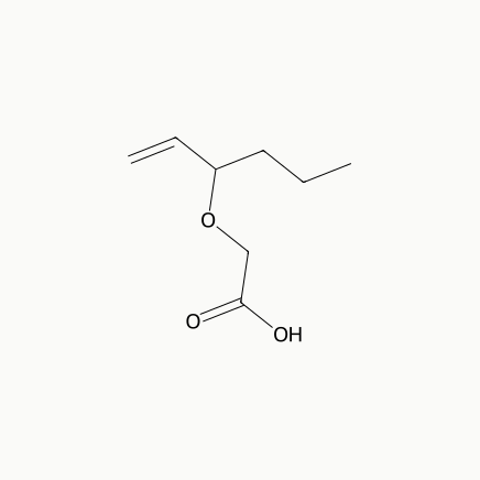 C=CC(CCC)OCC(=O)O